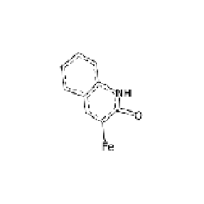 O=c1[nH]c2ccccc2c[c]1[Fe]